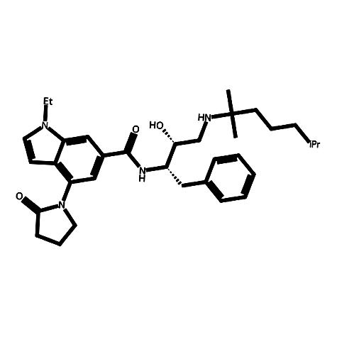 CCn1ccc2c(N3CCCC3=O)cc(C(=O)N[C@@H](Cc3ccccc3)[C@H](O)CNC(C)(C)CCCC(C)C)cc21